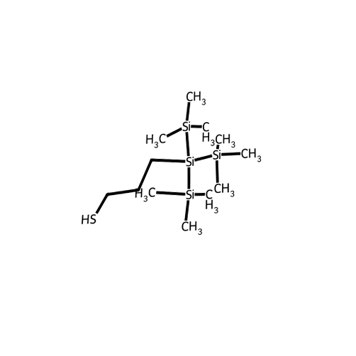 C[Si](C)(C)[Si](CCCS)([Si](C)(C)C)[Si](C)(C)C